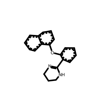 c1ccc(C2=NCCCN2)c(Oc2cccc3ccccc23)c1